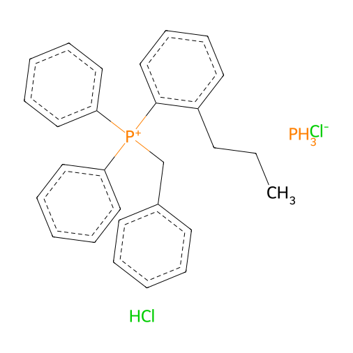 CCCc1ccccc1[P+](Cc1ccccc1)(c1ccccc1)c1ccccc1.Cl.P.[Cl-]